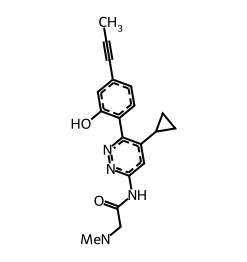 CC#Cc1ccc(-c2nnc(NC(=O)CNC)cc2C2CC2)c(O)c1